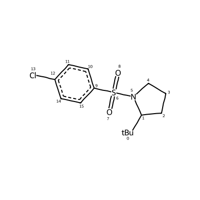 CC(C)(C)C1CCCN1S(=O)(=O)c1ccc(Cl)cc1